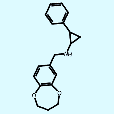 c1ccc(C2CC2NCc2ccc3c(c2)OCCCO3)cc1